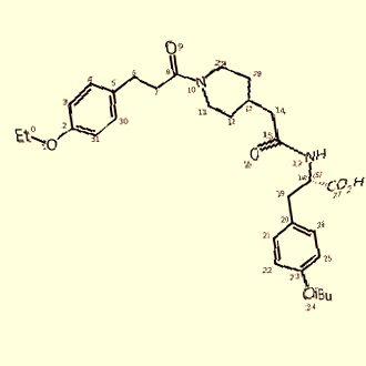 CCOc1ccc(CCC(=O)N2CCC(CC(=O)N[C@@H](Cc3ccc(OCC(C)C)cc3)C(=O)O)CC2)cc1